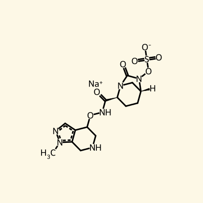 Cn1ncc2c1CNCC2ONC(=O)[C@@H]1CC[C@@H]2CN1C(=O)N2OS(=O)(=O)[O-].[Na+]